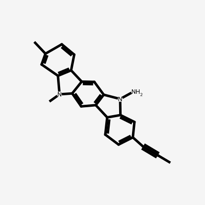 CC#Cc1ccc2c3cc4c(cc3n(N)c2c1)c1ccc(C)cc1n4C